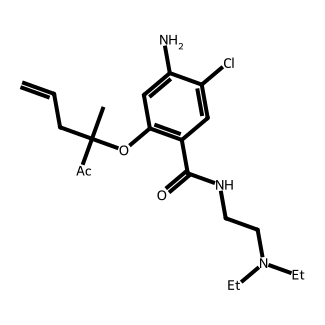 C=CCC(C)(Oc1cc(N)c(Cl)cc1C(=O)NCCN(CC)CC)C(C)=O